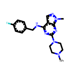 CCCN1CCN(c2nc(NCc3ccc(F)cc3)c3cnn(C)c3n2)CC1